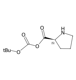 CC(C)(C)OC(=O)OC(=O)[C@@H]1CCCN1